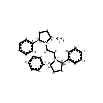 C[C@H]1CC[C@H](c2ccccc2)P1CCP1[C@@H](c2ccccc2)CC[C@@H]1c1ccccc1